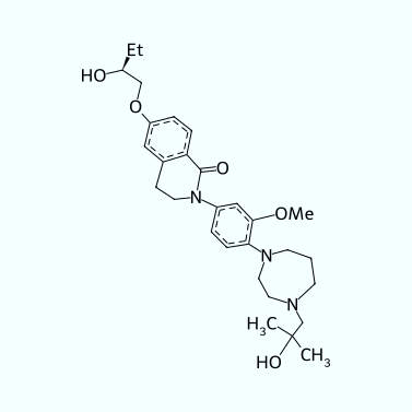 CC[C@H](O)COc1ccc2c(c1)CCN(c1ccc(N3CCCN(CC(C)(C)O)CC3)c(OC)c1)C2=O